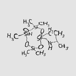 CC(C)N[Si]1(C)O[Si](C)(C)O[SiH](C)O[Si](C)(C)O1